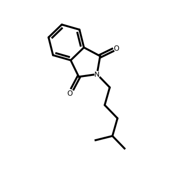 CC(C)CCCN1C(=O)c2ccccc2C1=O